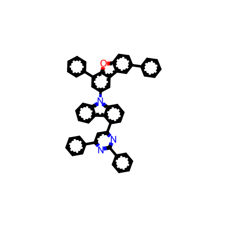 c1ccc(-c2ccc3oc4c(-c5ccccc5)cc(-n5c6ccccc6c6c(-c7cc(-c8ccccc8)nc(-c8ccccc8)n7)cccc65)cc4c3c2)cc1